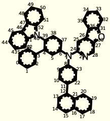 c1ccc(-c2cc(N(c3ccc(-c4cccc5ccccc45)cc3)c3cc4c(cn3)oc3ccccc34)ccc2-n2c3ccccc3c3ccccc32)cc1